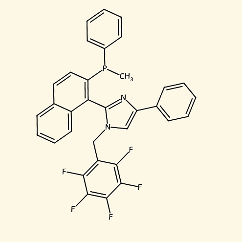 CP(c1ccccc1)c1ccc2ccccc2c1-c1nc(-c2ccccc2)cn1Cc1c(F)c(F)c(F)c(F)c1F